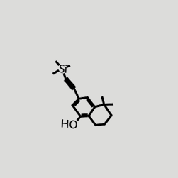 CC1(C)CCCc2c(O)cc(C#C[Si](C)(C)C)cc21